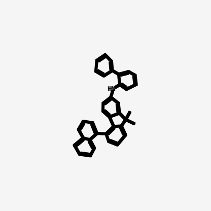 CC1(C)c2cc(Nc3ccccc3-c3ccccc3)ccc2-c2c(-c3cccc4ccccc34)cccc21